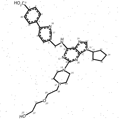 O=C(O)c1ccc(-c2ccc(CNc3nc(N4CCN(CCOCCO)CC4)nc4c3ncn4C3CCCC3)cn2)cc1